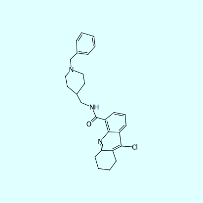 O=C(NCC1CCN(Cc2ccccc2)CC1)c1cccc2c(Cl)c3c(nc12)CCCC3